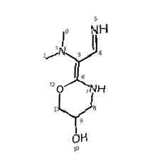 CN(C)/C(C=N)=C1/NCC(O)CO1